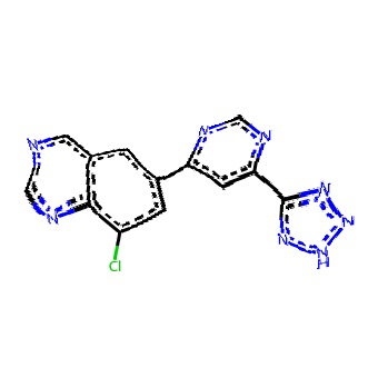 Clc1cc(-c2cc(-c3nn[nH]n3)ncn2)cc2cncnc12